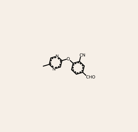 Cc1cnc(Oc2ccc(C=O)cc2C#N)cn1